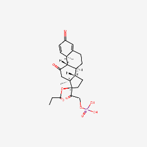 CCC(=O)O[C@]1(C(=O)COP(=O)(O)O)CC[C@H]2[C@@H]3CCC4=CC(=O)C=C[C@]4(C)[C@H]3C(=O)C[C@@]21C